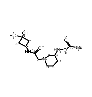 CC1(O)CC(NC(=O)CN2CCCC(NOC(=O)C(C)(C)C)C2)C1